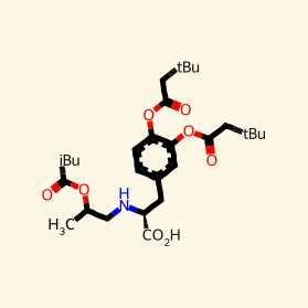 CCC(C)C(=O)OC(C)CN[C@@H](Cc1ccc(OC(=O)CC(C)(C)C)c(OC(=O)CC(C)(C)C)c1)C(=O)O